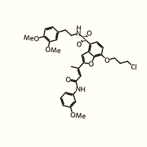 COc1cccc(NC(=O)C=C(C)c2cc3c(S(=O)(=O)NCCc4ccc(OC)c(OC)c4)ccc(OCCCCl)c3o2)c1